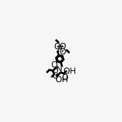 CCOP(=O)(Cc1ccc(CN(C(=O)C(CC)CC)C(C(=O)O)C(=O)O)cc1)OCC